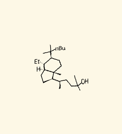 CCCCC(C)(C)[C@H]1CC[C@]2(C)[C@@H]([C@H](C)CCC(C)(C)O)CC[C@H]2[C@@H]1CC